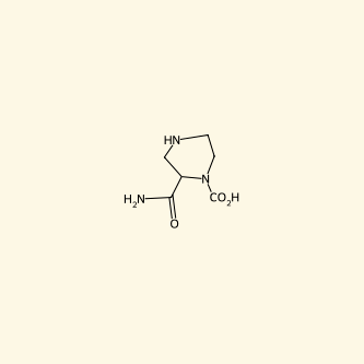 NC(=O)C1CNCCN1C(=O)O